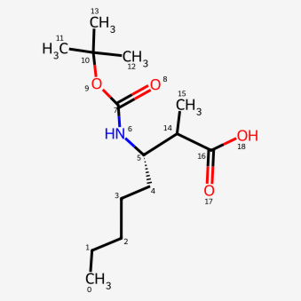 CCCCC[C@H](NC(=O)OC(C)(C)C)C(C)C(=O)O